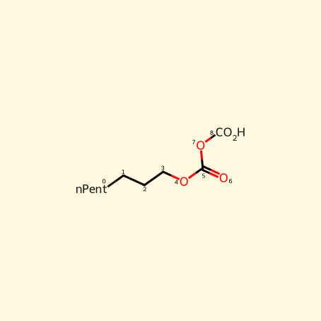 CCCCCCCCOC(=O)OC(=O)O